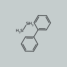 [SiH3][SiH3].c1ccc(-c2ccccc2)cc1